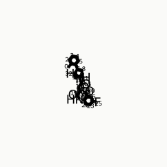 Cc1ccccc1C1=C[C@@H]2C[C@H]1CN2C(=O)CN1C(=O)Nc2ccc(F)cc2S1(=O)=O